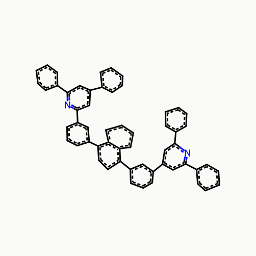 c1ccc(-c2cc(-c3ccccc3)nc(-c3cccc(-c4ccc(-c5cccc(-c6cc(-c7ccccc7)nc(-c7ccccc7)c6)c5)c5ccccc45)c3)c2)cc1